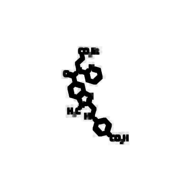 CCOC(=O)CCN(C(=O)c1ccc2c(c1)nc(CNc1ccc(C(=O)O)cc1)n2C)c1ccccn1